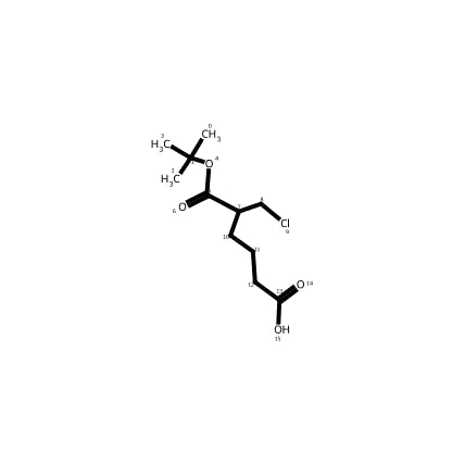 CC(C)(C)OC(=O)C(CCl)CCCC(=O)O